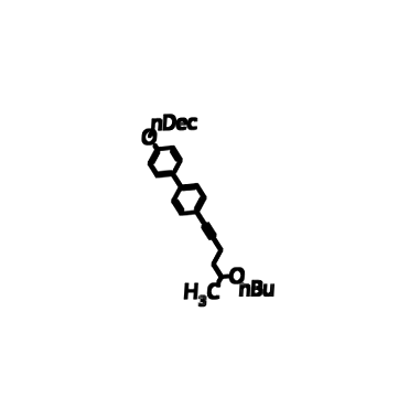 CCCCCCCCCCOc1ccc(-c2ccc(C#CCCC(C)OCCCC)cc2)cc1